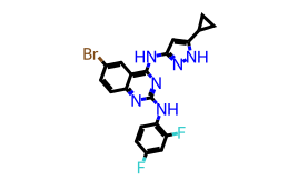 Fc1ccc(Nc2nc(Nc3cc(C4CC4)[nH]n3)c3cc(Br)ccc3n2)c(F)c1